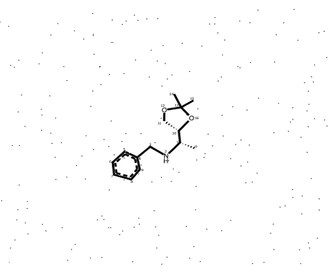 C[C@H](NCc1ccccc1)[C@@H]1COC(C)(C)O1